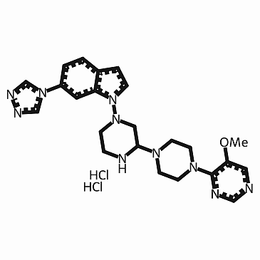 COc1cncnc1N1CCN(C2CN(n3ccc4ccc(-n5cnnc5)cc43)CCN2)CC1.Cl.Cl